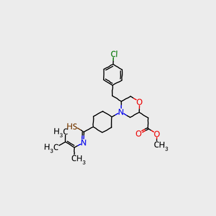 COC(=O)CC1CN(C2CCC(/C(S)=N/C(C)=C(C)C)CC2)C(Cc2ccc(Cl)cc2)CO1